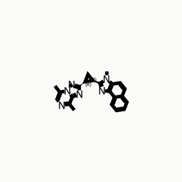 Cc1ncc(C)n2nc([C@@H]3C[C@H]3c3nc4c5ccccc5ccc4n3C)nc12